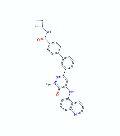 CCn1nc(-c2cccc(-c3ccc(C(=O)NC4CCC4)cc3)c2)cc(Nc2cccc3ncccc23)c1=O